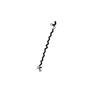 C=CC(=O)OCCCCCCCCCCCCCCCCCCC[Si](C)(C)Br